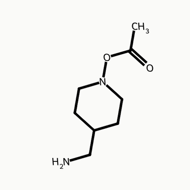 CC(=O)ON1CCC(CN)CC1